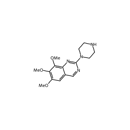 COc1cc2cnc(N3CCNCC3)nc2c(OC)c1OC